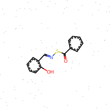 O=C(SN=Cc1ccccc1O)c1ccccc1